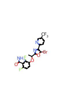 CC(Oc1ccc(F)c(C(N)=O)c1F)c1nc(-c2ccc(C(F)(F)F)cn2)c(Br)o1